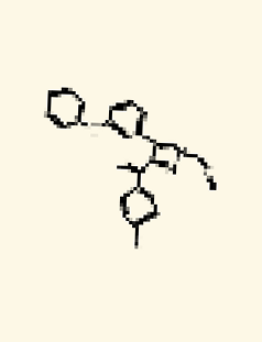 C=C=Cn1cc(-c2cccc(Oc3ccccc3)c2)c(C(=O)c2ccc(Cl)cc2)n1